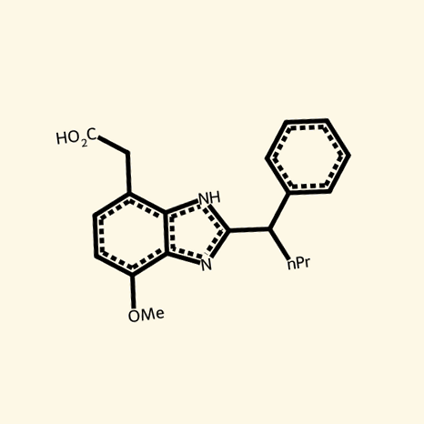 CCCC(c1ccccc1)c1nc2c(OC)ccc(CC(=O)O)c2[nH]1